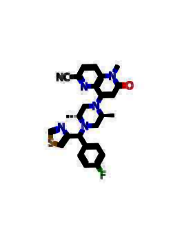 C[C@@H]1CN(c2cc(=O)n(C)c3ccc(C#N)nc23)[C@@H](C)CN1C(c1ccc(F)cc1)c1cscn1